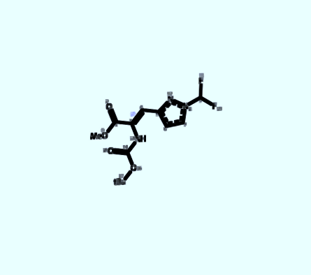 COC(=O)/C(=C/c1ccn(C(F)F)n1)NC(=O)OC(C)(C)C